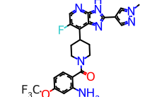 Cn1cc(-c2nc3c(C4CCN(C(=O)c5ccc(OC(F)(F)F)cc5N)CC4)c(F)cnc3[nH]2)cn1